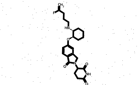 C=C(F)CCCN[C@@H]1CCCC[C@H]1Oc1ccc2c(c1)CN(C1CCC(=O)NC1=O)C2=O